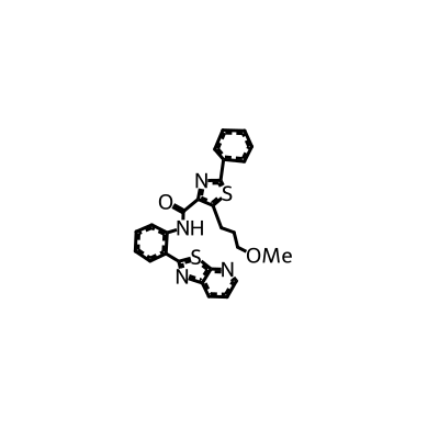 COCCCc1sc(-c2ccccc2)nc1C(=O)Nc1ccccc1-c1nc2cccnc2s1